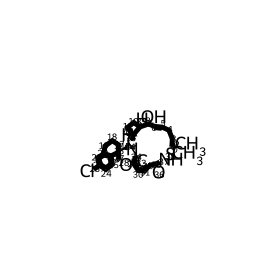 CC1(C)CC/C=C/[C@H](O)[C@@H]2CC[C@H]2CN2C[C@@]3(CCCc4cc(Cl)ccc43)COc3ccc(cc32)C(=O)NS1